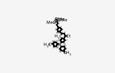 CCC(CC(C)c1ccc(CC[Si](OC)(OC)OC)cc1)c1ccc(N(c2ccc(C)cc2)c2ccc(C)cc2)cc1